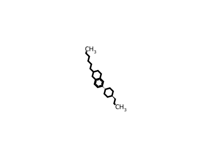 CCCCCCC1CCc2cc([C@H]3CC[C@H](CCC)CC3)ccc2C1